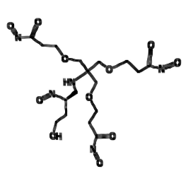 O=NC(=O)CCOCC(COCCC(=O)N=O)(COCCC(=O)N=O)NC[C@@H](CCO)N=O